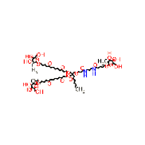 CCCCCC(=O)CC(COCCC(=O)CCCCCC(=O)CCCCOC1OC(CO)C(O)C(O)C1C)(COCCC(=O)CCCCCC(=O)CCCCOC1OC(CO)C(O)C(O)C1C)COCCC(=O)NCCCNC(=O)CCCCOC1OC(CO)C(O)C(O)C1C